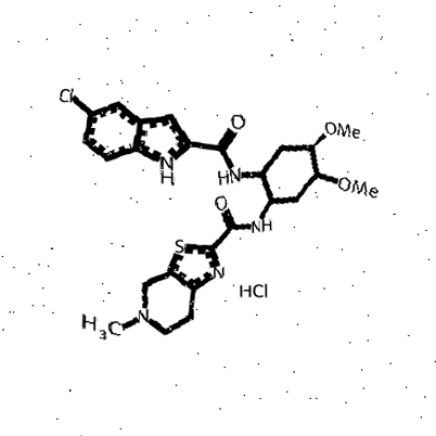 COC1CC(NC(=O)c2nc3c(s2)CN(C)CC3)C(NC(=O)c2cc3cc(Cl)ccc3[nH]2)C[C@H]1OC.Cl